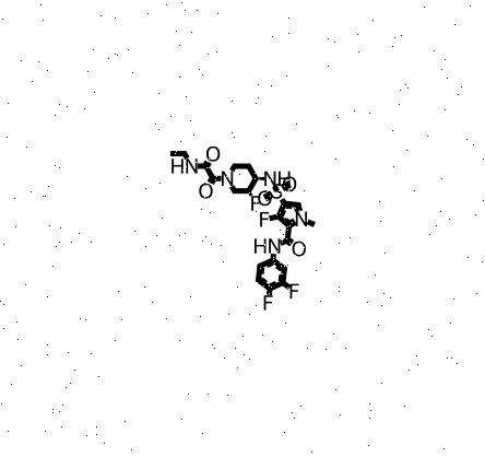 CCNC(=O)C(=O)N1CC[C@@H](NS(=O)(=O)c2cn(C)c(C(=O)Nc3ccc(F)c(F)c3)c2F)[C@@H](F)C1